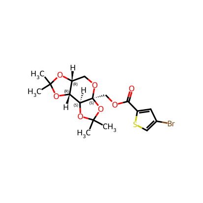 CC1(C)O[C@@H]2[C@@H](CO[C@@]3(COC(=O)c4cc(Br)cs4)OC(C)(C)O[C@@H]23)O1